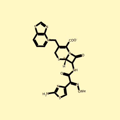 CON=C(C(=O)NC1C(=O)N2C(C(=O)[O-])=C(C[n+]3cccc4scnc43)CS[C@@H]12)c1csc(N)n1